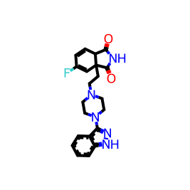 O=C1NC(=O)C2(CCN3CCN(c4n[nH]c5ccccc45)CC3)C=C(F)C=CC12